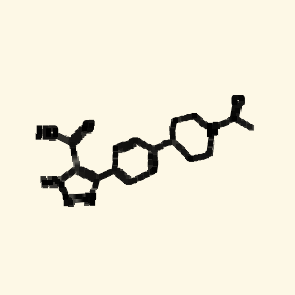 CC(=O)N1CCC(c2ccc(-c3nn[nH]c3C(=O)O)cc2)CC1